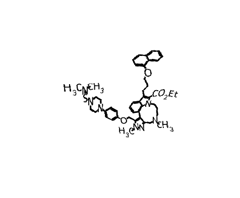 CCOC(=O)c1c(CCCOc2cccc3ccccc23)c2cccc3c2n1CCCN(C)Cc1nn(C)c(COc2ccc(N4CCN(SN(C)C)CC4)cc2)c1-3